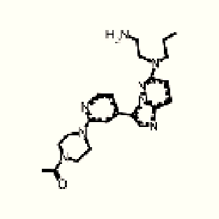 CCCN(CCN)c1ccc2ncc(-c3ccnc(N4CCN(C(C)=O)CC4)c3)n2n1